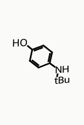 CC(C)(C)Nc1ccc(O)cc1